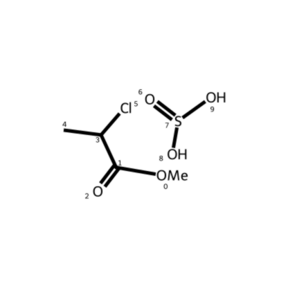 COC(=O)C(C)Cl.O=S(O)O